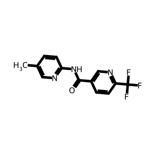 Cc1ccc(NC(=O)c2ccc(C(F)(F)F)nc2)nc1